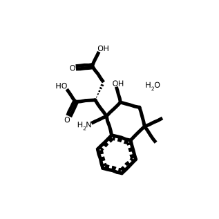 CC1(C)CC(O)C(N)([C@@H](CC(=O)O)C(=O)O)c2ccccc21.O